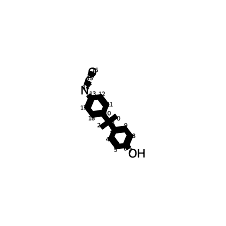 CC(C)(c1ccc(O)cc1)c1ccc(N=C=O)cc1